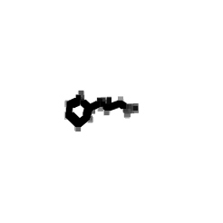 OCCNc1ccccn1